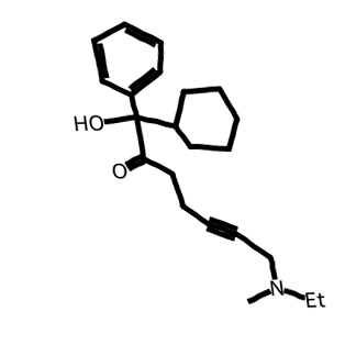 CCN(C)CC#CCCC(=O)C(O)(c1ccccc1)C1CCCCC1